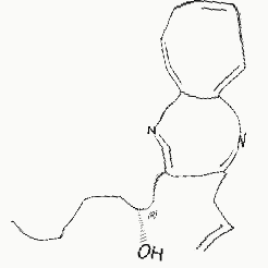 C=Cc1nc2ccccc2nc1[C@H](O)CCC